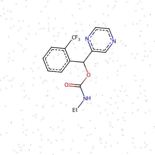 CCNC(=O)OC(c1cnccn1)c1ccccc1C(F)(F)F